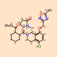 CNC(=O)C1CCCCC1C(=O)N1CCc2c(Cl)ccc(OCc3noc(C(C)C)n3)c2[C@H]1CN1CCCC1=O